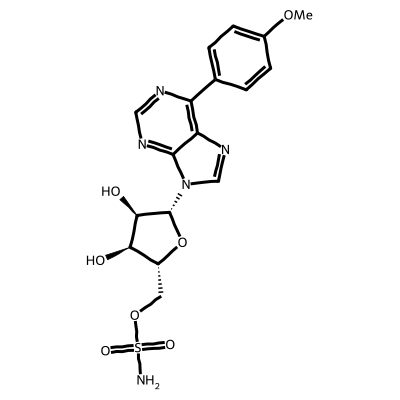 COc1ccc(-c2ncnc3c2ncn3[C@@H]2O[C@H](COS(N)(=O)=O)[C@@H](O)[C@H]2O)cc1